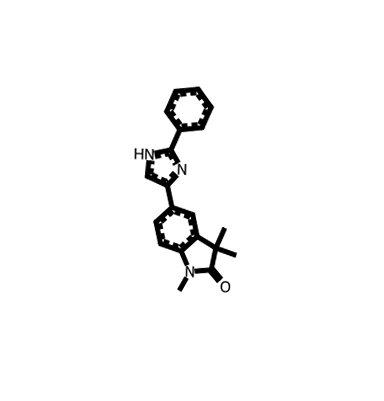 CN1C(=O)C(C)(C)c2cc(-c3c[nH]c(-c4ccccc4)n3)ccc21